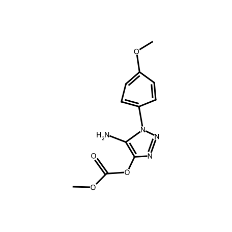 COC(=O)Oc1nnn(-c2ccc(OC)cc2)c1N